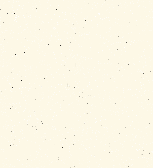 Cc1ccc(-c2nc([PH](c3ccccc3)(c3ccccc3)c3ccccc3)c[se]2)cc1